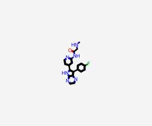 CNCC(=O)Nc1cc(-c2[nH]c3nccnc3c2-c2ccc(F)cc2)ccn1